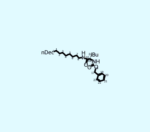 CCCCCCCCCCCCCCCCCCNC(=O)[C@@H](NC(=O)OCc1ccccc1)C(C)CC